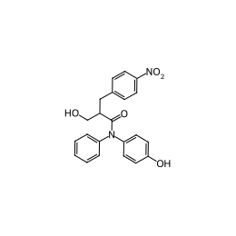 O=C(C(CO)Cc1ccc([N+](=O)[O-])cc1)N(c1ccccc1)c1ccc(O)cc1